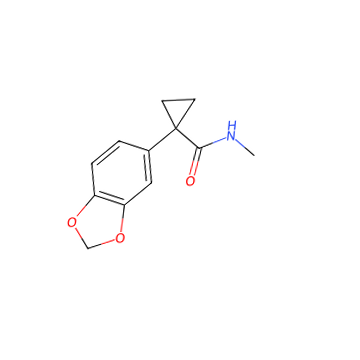 CNC(=O)C1(c2ccc3c(c2)OCO3)CC1